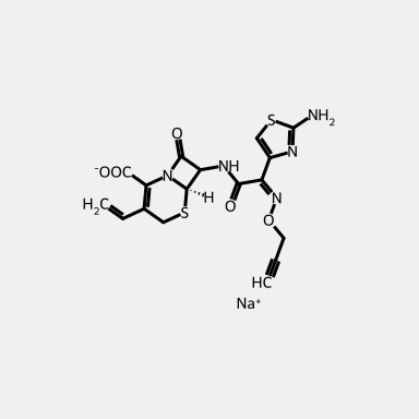 C#CCO/N=C(\C(=O)NC1C(=O)N2C(C(=O)[O-])=C(C=C)CS[C@H]12)c1csc(N)n1.[Na+]